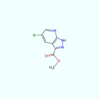 COC(=O)c1n[nH]c2ncc(Br)cc12